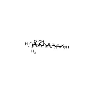 C=C(C)C(=O)OC(O)COCCOCCOCCO